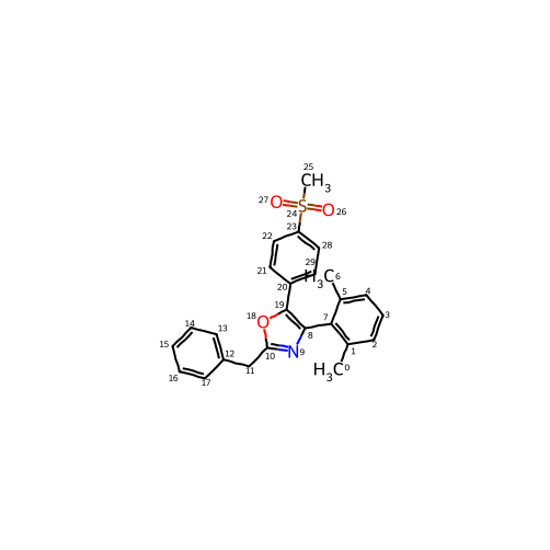 Cc1cccc(C)c1-c1nc(Cc2ccccc2)oc1-c1ccc(S(C)(=O)=O)cc1